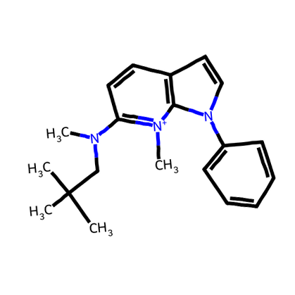 CN(CC(C)(C)C)c1ccc2ccn(-c3ccccc3)c2[n+]1C